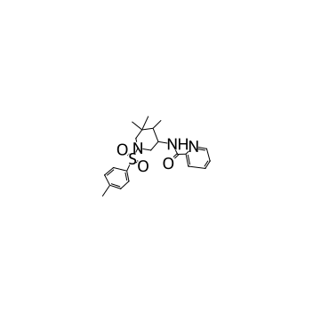 Cc1ccc(S(=O)(=O)N2CC(NC(=O)c3ccccn3)C(C)C(C)(C)C2)cc1